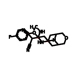 CNC(NC1CC2COCC(C1)N2CCCOc1ccc(F)cc1)C(C#N)C#N